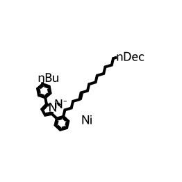 CCCCCCCCCCCCCCCCCCC=CCCCc1ccccc1C1=CC=C(c2ccc(CCCC)cc2)[N+]1=[N-].[Ni]